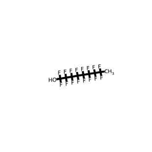 CC(F)(F)C(F)(F)C(F)(F)C(F)(F)C(F)(F)C(F)(F)C(F)(F)C(O)(F)F